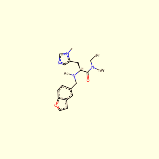 CCCN(CC(C)C)C(=O)[C@H](Cc1cncn1C)N(Cc1ccc2occc2c1)C(C)=O